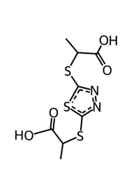 CC(Sc1nnc(SC(C)C(=O)O)s1)C(=O)O